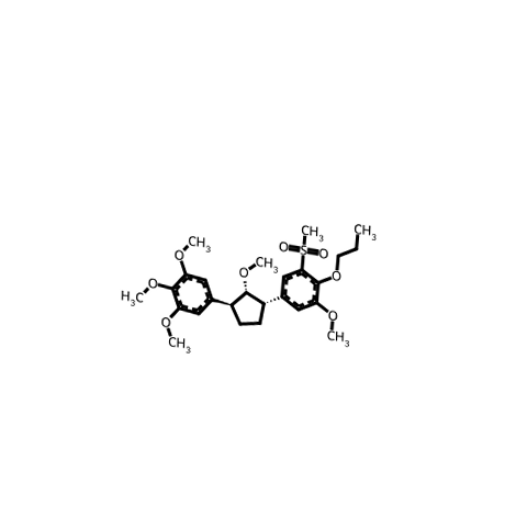 CCCOc1c(OC)cc([C@@H]2CC[C@@H](c3cc(OC)c(OC)c(OC)c3)[C@@H]2OC)cc1S(C)(=O)=O